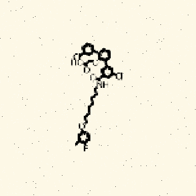 Cc1cc(OCCCCCCCCNC(=O)c2cc(Cl)cc(-c3cccc(-c4cccc(Cl)c4)c3OCC(=O)O)c2)ccc1F